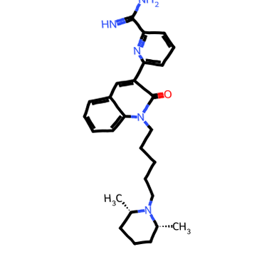 C[C@@H]1CCC[C@H](C)N1CCCCCn1c(=O)c(-c2cccc(C(=N)N)n2)cc2ccccc21